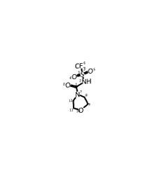 O=C(NS(=O)(=O)C(F)(F)F)N1CCOCC1